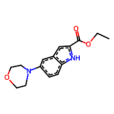 CCOC(=O)c1cc2cc(N3CCOCC3)ccc2[nH]1